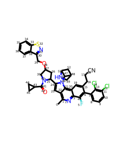 Cc1nc2c(F)c(-c3cccc(Cl)c3Cl)c(CCC#N)cc2c2c1cc(C1CC(OCc3nsc4ccccc34)CN1C(=O)C1CC1)n2C1C2CNC1C2